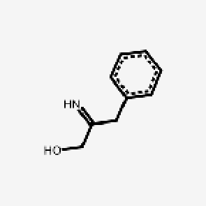 N=C(CO)Cc1ccccc1